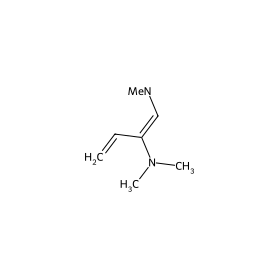 C=C/C(=C\NC)N(C)C